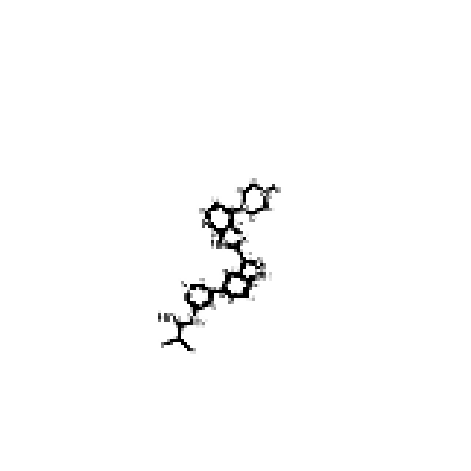 CC(C)C(O)Nc1cncc(-c2ccc3[nH]nc(-c4nc5c(N6CCN(C)CC6)ccnc5[nH]4)c3c2)c1